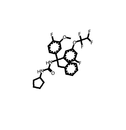 COc1cc(C(Cc2ccccc2)(NC(=O)NC2CCCC2)c2cc(F)cc(OC(F)(F)C(F)F)c2)ccc1F